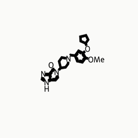 COc1ccc(CN2CCC(n3ccc4[nH]cnc4c3=O)CC2)cc1OC1CCCC1